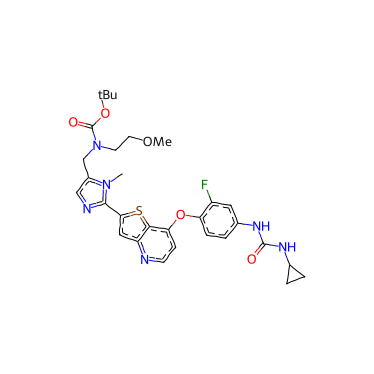 COCCN(Cc1cnc(-c2cc3nccc(Oc4ccc(NC(=O)NC5CC5)cc4F)c3s2)n1C)C(=O)OC(C)(C)C